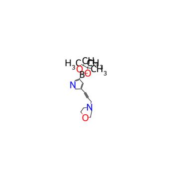 CC1(C)OB(c2cncc(C#CCN3CCOCC3)c2)OC1(C)C